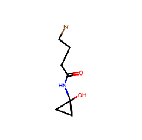 O=C(CCCBr)NC1(O)CC1